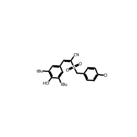 CC(C)(C)c1cc(/C=C(/C#N)S(=O)(=O)Cc2ccc(Cl)cc2)cc(C(C)(C)C)c1O